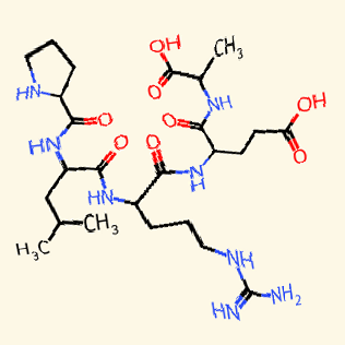 CC(C)CC(NC(=O)C1CCCN1)C(=O)NC(CCCNC(=N)N)C(=O)NC(CCC(=O)O)C(=O)NC(C)C(=O)O